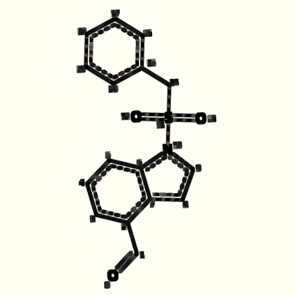 O=Cc1cccc2c1ccn2S(=O)(=O)Cc1ccccc1